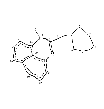 CN(C(=O)CC1CCCCC1)c1cccc2cccnc12